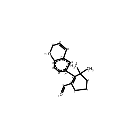 CC1(C)CCCC(C=O)=C1c1ccc2c(c1)C=CCO2